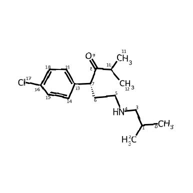 CC(C)CNCC[C@@H](C(=O)C(C)C)c1ccc(Cl)cc1